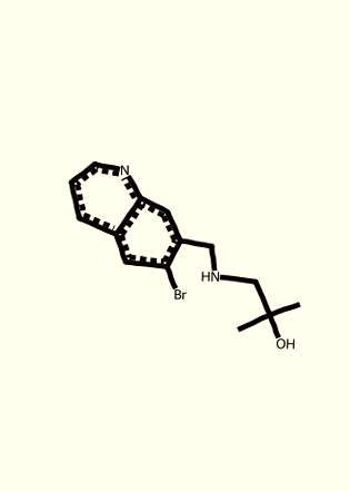 CC(C)(O)CNCc1cc2ncccc2cc1Br